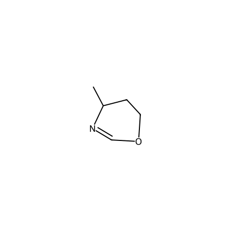 CC1CCOC=N1